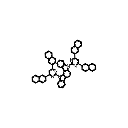 c1ccc2cc(-c3cc(-c4ccc5ccccc5c4)nc(-n4c5ccccc5c5c4ccc4c6ccccc6n(-c6nc(-c7ccc8ccccc8c7)cc(-c7ccc8ccccc8c7)n6)c45)n3)ccc2c1